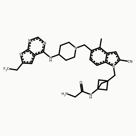 Cc1c(CN2CCC(Nc3ncnc4sc(CC(F)(F)F)cc34)CC2)ccc2c1cc(C#N)n2CC12CC(NC(=O)CN)(C1)C2